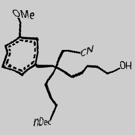 CCCCCCCCCCCCC(CC#N)(CCCO)c1cccc(OC)c1